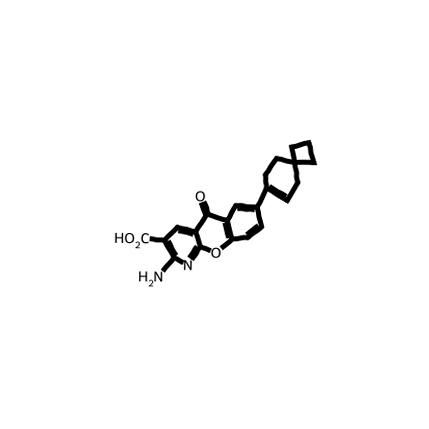 Nc1nc2oc3ccc(C4=CCC5(CCC5)CC4)cc3c(=O)c2cc1C(=O)O